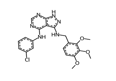 COc1ccc(CNc2n[nH]c3ncnc(Nc4cccc(Cl)c4)c23)c(OC)c1OC